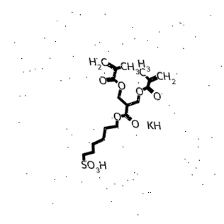 C=C(C)C(=O)OCC(COC(=O)C(=C)C)C(=O)OCCCCCCS(=O)(=O)O.[KH]